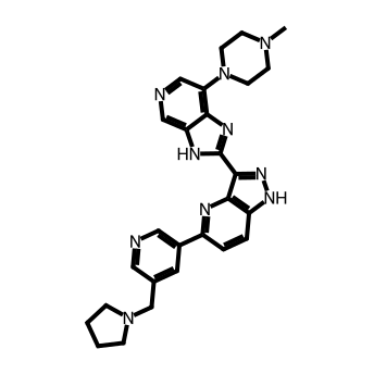 CN1CCN(c2cncc3[nH]c(-c4n[nH]c5ccc(-c6cncc(CN7CCCC7)c6)nc45)nc23)CC1